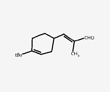 CC(C=O)=CC1CC=C(C(C)(C)C)CC1